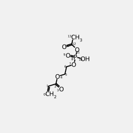 C=CC(=O)OCCOP(=O)(O)OC(C)=O